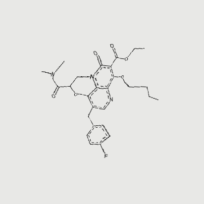 CCCCOc1c(C(=O)OCC)c(=O)n2c3c(c(Cc4ccc(F)cc4)cnc13)OC(C(=O)N(C)C)C2